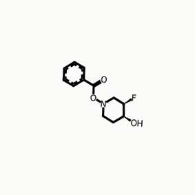 O=C(ON1CC[C@H](O)[C@H](F)C1)c1ccccc1